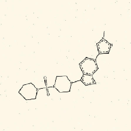 Cn1cc(-c2ccc3c(N4CCN(S(=O)(=O)N5CCCCC5)CC4)cnn3c2)cn1